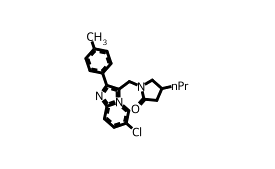 CCCC1CC(=O)N(Cc2c(-c3ccc(C)cc3)nc3ccc(Cl)cn23)C1